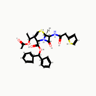 CC(=O)OC(C)C1=CS[C@H]2C(NC(=O)Cc3cccs3)C(=O)N2C1C(=O)OC(c1ccccc1)c1ccccc1